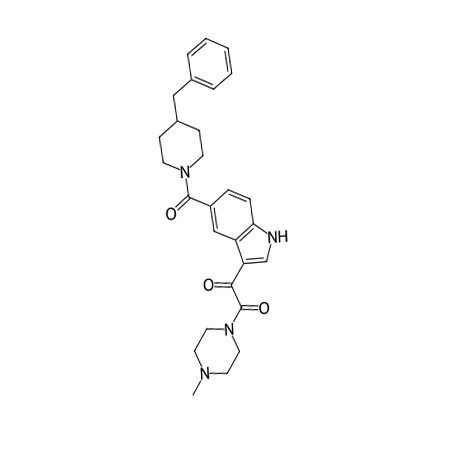 CN1CCN(C(=O)C(=O)c2c[nH]c3ccc(C(=O)N4CCC(Cc5ccccc5)CC4)cc23)CC1